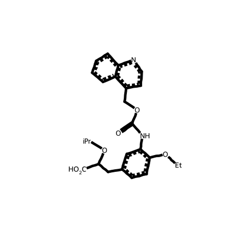 CCOc1ccc(CC(OC(C)C)C(=O)O)cc1NC(=O)OCc1ccnc2ccccc12